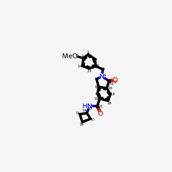 COc1ccc(CN2Cc3cc(C(=O)NC4CCC4)ccc3C2=O)cc1